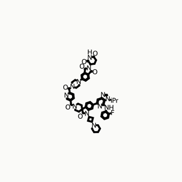 CC(C)n1cnc2cc(-c3ccc4c(c3)N([C@H]3C[C@@H](N5CCCCC5)C3)C(=O)C43CCN(C(=O)c4ccc(C(=O)N5CCN(c6ccc7c(c6)C(=O)N(C6CCC(=O)NC6=O)C7=O)CC5)nc4)CC3)nc(Nc3ccccc3F)c21